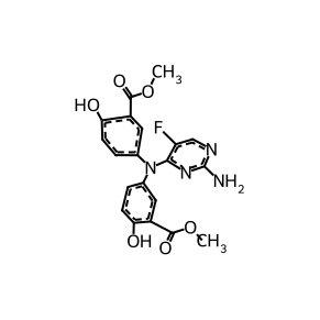 COC(=O)c1cc(N(c2ccc(O)c(C(=O)OC)c2)c2nc(N)ncc2F)ccc1O